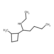 CCCCC(NCC)C1CCC1C